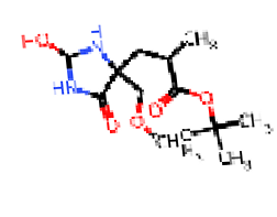 COCC1(CC(C)C(=O)OC(C)(C)C)NC(O)NC1=O